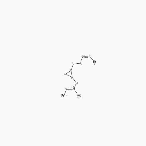 CC/C=C\CCC1CC1CN(CC(C)C)C(C)=O